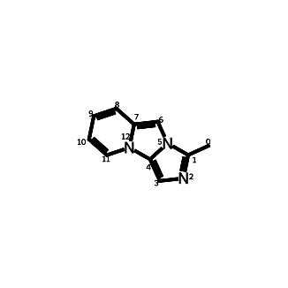 Cc1ncc2n1cc1ccccn12